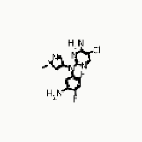 Cn1cc(N(c2ncc(Cl)c(N)n2)c2cc(N)c(F)cc2F)cn1